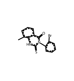 Cc1cccc2c(=O)n(-c3ccccc3Br)c(=S)[nH]c12